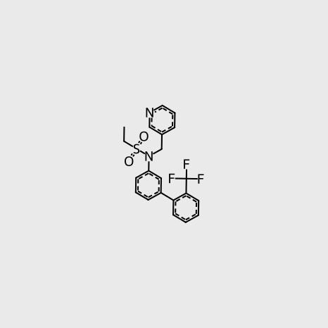 CCS(=O)(=O)N(Cc1cccnc1)c1cccc(-c2ccccc2C(F)(F)F)c1